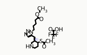 CCOC(=O)CCCCn1nncc1/C=C1\CNCCC1SC(C)=O.O=C(O)C(F)(F)F